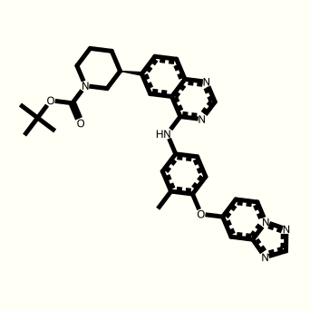 Cc1cc(Nc2ncnc3ccc([C@@H]4CCCN(C(=O)OC(C)(C)C)C4)cc23)ccc1Oc1ccn2ncnc2c1